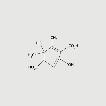 CC1=C(C(=O)O)C(O)=CC(C(=O)O)C1(C)O